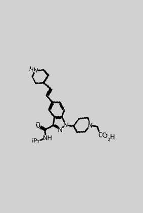 CC(C)NC(=O)c1nn(C2CCN(CC(=O)O)CC2)c2ccc(/C=C/C3CCNCC3)cc12